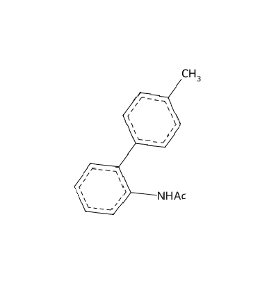 CC(=O)Nc1ccccc1-c1ccc(C)cc1